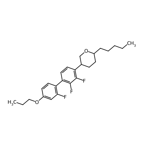 CCCCCC1CCC(c2ccc(-c3ccc(OCCC)cc3F)c(F)c2F)CO1